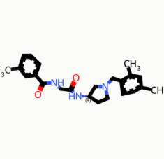 Cc1ccc(CN2CC[C@@H](NC(=O)CNC(=O)c3cccc(C(F)(F)F)c3)C2)c(C)c1